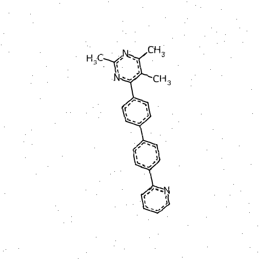 Cc1nc(C)c(C)c(-c2ccc(-c3ccc(-c4ccccn4)cc3)cc2)n1